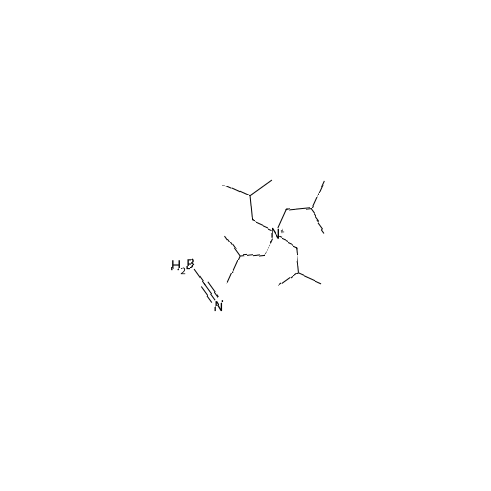 BC#N.CC(C)C[N+](CC(C)C)(CC(C)C)CC(C)C